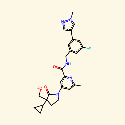 Cc1cc(N2CCC(CO)(C3CC3)C2=O)cc(C(=O)NCc2cc(F)cc(-c3cnn(C)c3)c2)n1